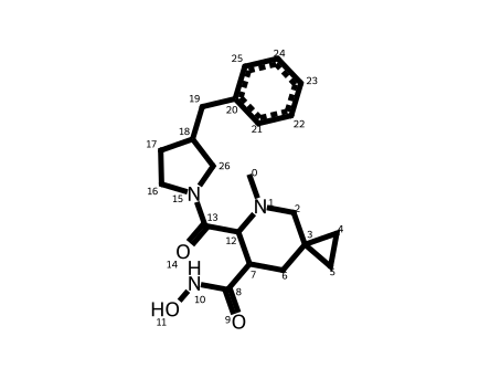 CN1CC2(CC2)CC(C(=O)NO)C1C(=O)N1CCC(Cc2ccccc2)C1